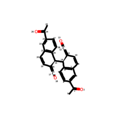 CC(=O)c1ccc2c(c1)C=CC(=C=O)[C@@H]2[C@H]1C(=C=O)C=Cc2cc(C(C)=O)ccc21